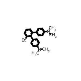 CCc1cccc(-c2ccc(N(C)C)cc2)c1-c1ccc(N(C)C)cc1